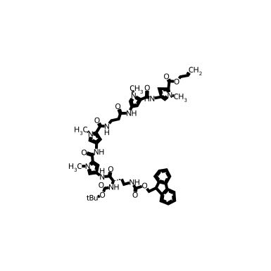 C=CCOC(=O)c1cc(NC(=O)c2cc(NC(=O)CCNC(=O)c3cc(NC(=O)c4cc(NC(=O)[C@H](CCNC(=O)OCC5c6ccccc6-c6ccccc65)NC(=O)OC(C)(C)C)cn4C)cn3C)cn2C)cn1C